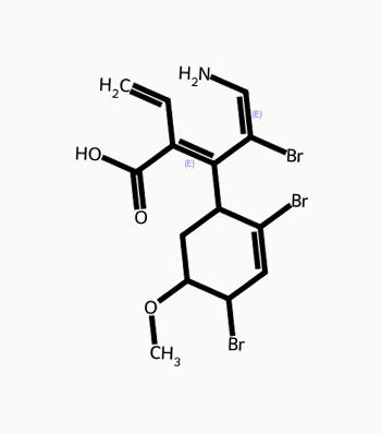 C=C/C(C(=O)O)=C(\C(Br)=C/N)C1CC(OC)C(Br)C=C1Br